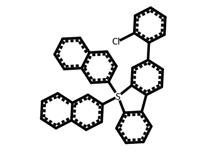 Clc1ccccc1-c1ccc2c(c1)S(c1ccc3ccccc3c1)(c1ccc3ccccc3c1)c1ccccc1-2